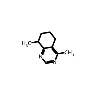 Cc1ncnc2c1CCCC2C